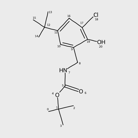 CC(C)(C)OC(=O)NCc1cc(C(C)(C)C)cc(Cl)c1O